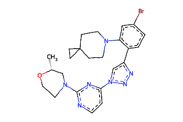 C[C@@H]1CN(c2nccc(-n3cc(-c4ccc(Br)cc4N4CCC5(CC4)CC5)nn3)n2)CCO1